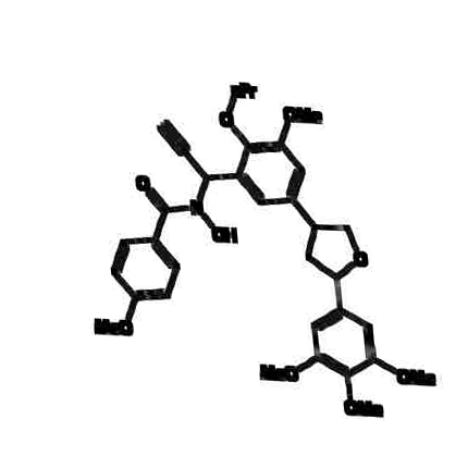 C#CC(c1cc(C2COC(c3cc(OC)c(OC)c(OC)c3)C2)cc(OC)c1OCCC)N(O)C(=O)c1ccc(OC)cc1